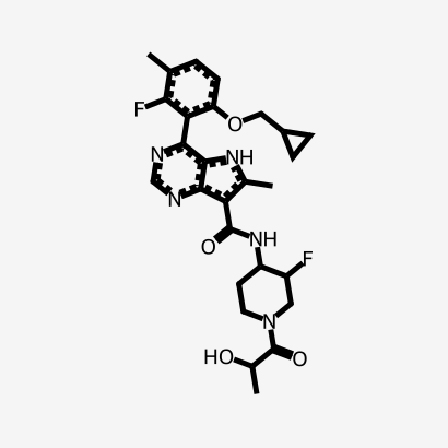 Cc1ccc(OCC2CC2)c(-c2ncnc3c(C(=O)NC4CCN(C(=O)C(C)O)CC4F)c(C)[nH]c23)c1F